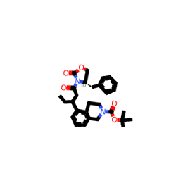 CCC(CC(=O)N1C(=O)OC[C@@H]1Cc1ccccc1)c1cccc2c1CCN(C(=O)OC(C)(C)C)C2